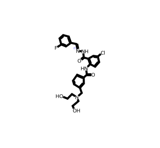 O=C(Nc1ccc(Cl)cc1C(=O)N/N=C/c1cccc(F)c1)c1cccc(CN(CCO)CCO)c1